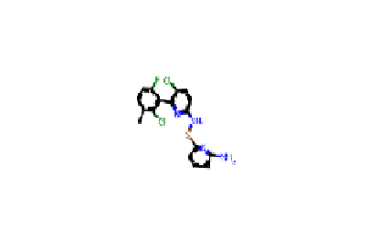 Cc1ccc(F)c(-c2nc(NSc3cccc(N)n3)ccc2Cl)c1Cl